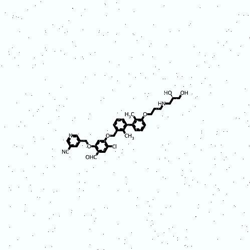 Cc1c(COc2cc(OCc3cncc(C#N)c3)c(C=O)cc2Cl)cccc1-c1cccc(OCCCNC[C@H](O)CO)c1C